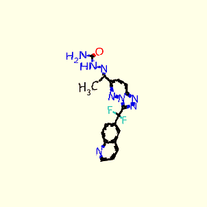 C/C(=N\NC(N)=O)c1ccc2nnc(C(F)(F)c3ccc4ncccc4c3)n2n1